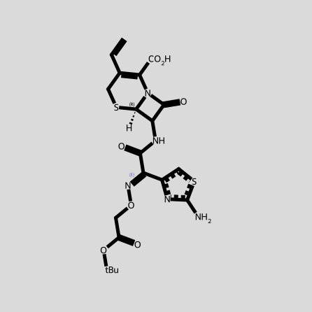 C=CC1=C(C(=O)O)N2C(=O)C(NC(=O)/C(=N/OCC(=O)OC(C)(C)C)c3csc(N)n3)[C@H]2SC1